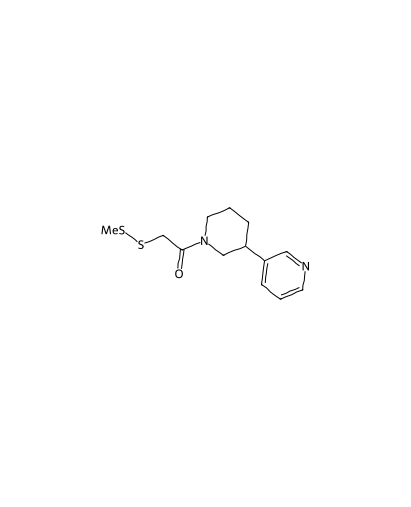 CSSCC(=O)N1CCCC(c2cccnc2)C1